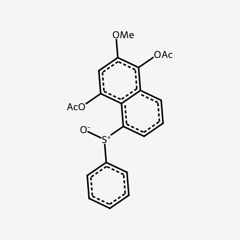 COc1cc(OC(C)=O)c2c([S+]([O-])c3ccccc3)cccc2c1OC(C)=O